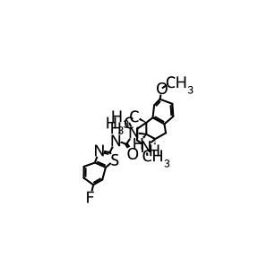 COc1ccc2c(c1)[C@@]1(C)CCN(C)[C@H](C2)[C@@H]1N(C)C(=O)Nc1nc2ccc(F)cc2s1